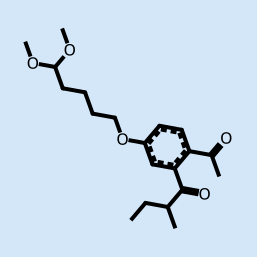 CCC(C)C(=O)c1cc(OCCCCC(OC)OC)ccc1C(C)=O